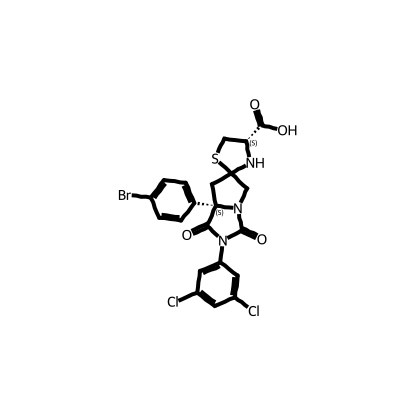 O=C(O)[C@H]1CSC2(CN3C(=O)N(c4cc(Cl)cc(Cl)c4)C(=O)[C@@]3(c3ccc(Br)cc3)C2)N1